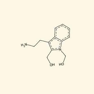 NCCc1c(CO)n(CO)c2ccccc12